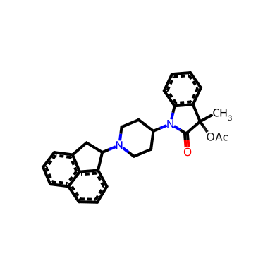 CC(=O)OC1(C)C(=O)N(C2CCN(C3Cc4cccc5cccc3c45)CC2)c2ccccc21